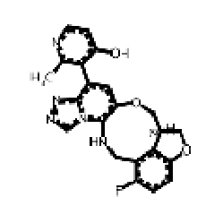 Cc1nccc(O)c1-c1cc2c(n3cnnc13)NCc1c(F)ccc3c1[C@@H](CO3)CO2